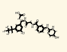 CC(C)(c1cc(Cl)cc([C@H](CC(=O)O)NC(=O)CNC(=O)c2cncc(NC3=NCC(O)CN3)c2)c1)C(F)(F)F